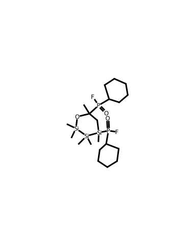 CC1(P(=O)(F)C2CCCCC2)C[Si](C)(P(=O)(F)C2CCCCC2)[Si](C)(C)[Si](C)(C)O1